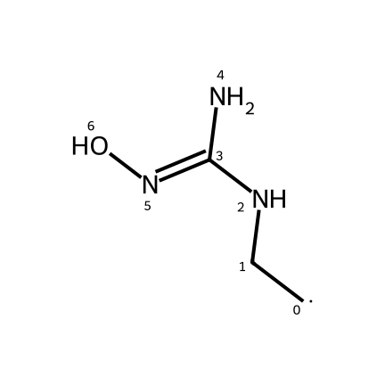 [CH2]CNC(N)=NO